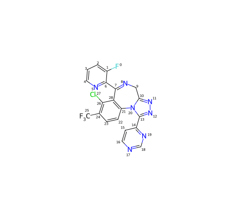 Fc1cccnc1C1=NCc2nnc(-c3ccncn3)n2-c2ccc(C(F)(F)F)c(Cl)c21